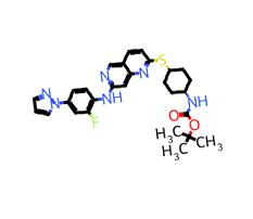 CC(C)(C)OC(=O)N[C@H]1CC[C@@H](Sc2ccc3cnc(Nc4ccc(-n5cccn5)cc4F)cc3n2)CC1